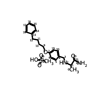 CC(NCc1ccc(OCCCCc2ccccc2)cc1)C(N)=O.CS(=O)(=O)O